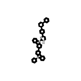 C1=CC(c2ccccc2)=CC(c2ccc(C3=NC(n4c5ccccc5c5cc(-c6ccc7c(c6)c6ccccc6n7-c6ccccc6)ccc54)NC=C3)cc2)C1